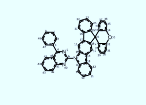 c1ccc(-c2nc(-n3c4ccccc4c4cc5c(cc43)-c3ccccc3C53c4ccccc4Oc4ccccc43)nc3ccccc23)cc1